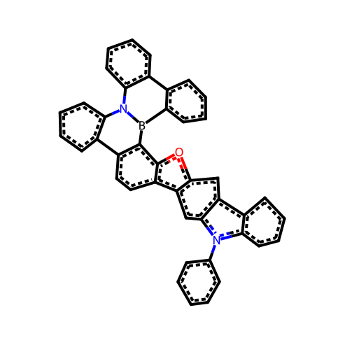 c1ccc(-n2c3ccccc3c3cc4oc5c6c(ccc5c4cc32)-c2ccccc2N2B6c3ccccc3-c3ccccc32)cc1